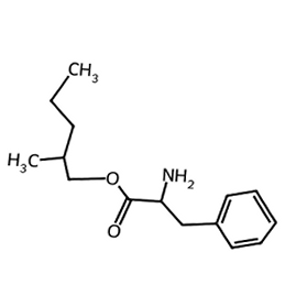 CCCC(C)COC(=O)C(N)Cc1ccccc1